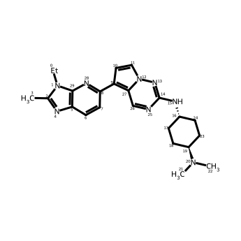 CCn1c(C)nc2ccc(-c3ccn4nc(N[C@H]5CC[C@H](N(C)C)CC5)ncc34)nc21